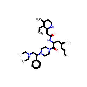 C=CC1=C(C)CCNC1CC(=O)NC(CC(=C)C=CC)C(=O)N1CCN(C(CN(CC)CC)c2ccccc2)CC1